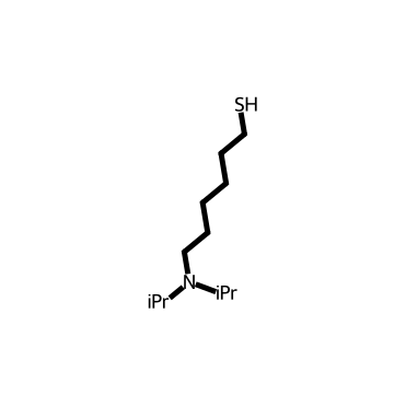 CC(C)N(CCCCCCS)C(C)C